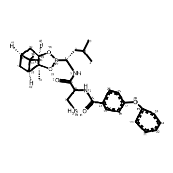 CC(C)C[C@H](NC(=O)C(CN)NC(=O)c1ccc(Oc2ccccc2)cc1)B1O[C@@H]2C[C@@H]3C[C@@H](C3(C)C)[C@]2(C)O1